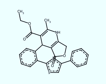 CCOC(=O)C1=C(C)NC2=C(C(=O)OC2)C1c1ccccc1-c1nc(-c2ccccc2)cs1